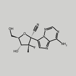 C[C@@]1(F)[C@H](O)[C@@H](CO)O[C@@]1(C#N)c1cnc2c(N)ncnn12